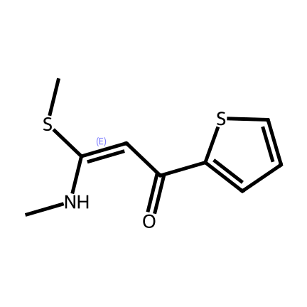 CN/C(=C\C(=O)c1cccs1)SC